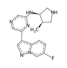 C[C@@H]1CNC[C@@H]1Nc1cncc(-c2cnn3cc(F)ccc23)n1